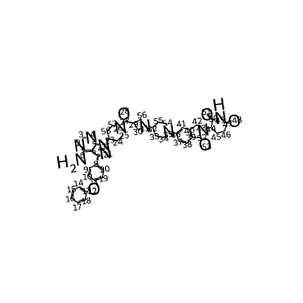 Nc1ncnc2c1c(-c1ccc(Oc3ccccc3)cc1)nn2C1CCN(C(=O)C2CN(C3CCN(c4ccc5c(c4)CN(C4CCC(=O)NC4=O)C5=O)CC3)C2)CC1